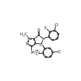 Cc1ccc(Cl)cc1[C@H]1c2c(C(C)C)nn(C)c2C(=O)N1c1cccc(Cl)c1F